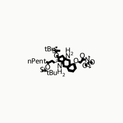 CCCCCC(CC[C@@H]1C(O[Si](C)(C)C(C)(C)C)C[C@@]2(N)Cc3c(cccc3OCC(=O)N(C)S(C)(=O)=O)C[C@@]12N)O[Si](C)(C)C(C)(C)C